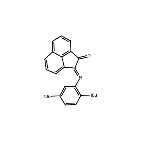 CC(C)(C)c1ccc(C(C)(C)C)c(N=C2C(=O)c3cccc4cccc2c34)c1